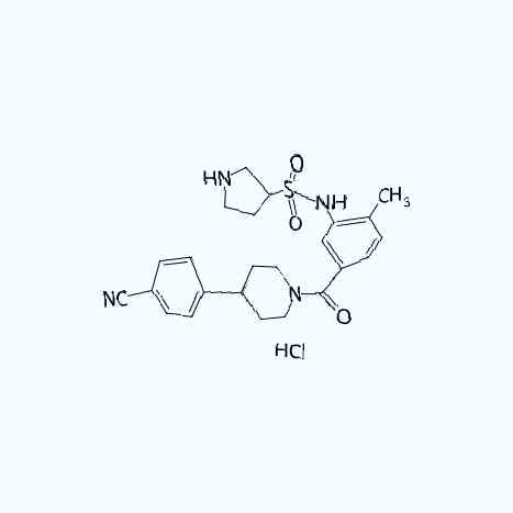 Cc1ccc(C(=O)N2CCC(c3ccc(C#N)cc3)CC2)cc1NS(=O)(=O)C1CCNC1.Cl